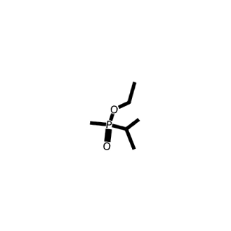 CCOP(C)(=O)C(C)C